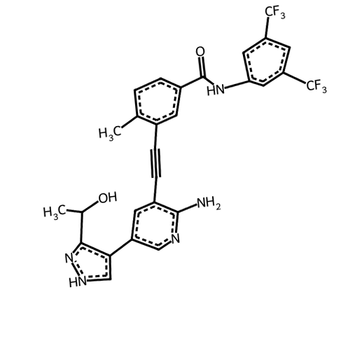 Cc1ccc(C(=O)Nc2cc(C(F)(F)F)cc(C(F)(F)F)c2)cc1C#Cc1cc(-c2c[nH]nc2C(C)O)cnc1N